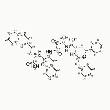 CC(NC(=O)[C@H](CCc1ccccc1)NC(=O)Cc1ccccc1)C(=O)C(=O)N[C@@H](Cc1ccccc1)C(=O)N[C@@H](CCc1ccc2ccccc2c1)C(N)=O